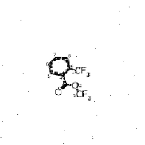 O=C(OC(F)(F)F)c1ccccc1C(F)(F)F